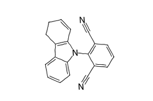 N#Cc1cccc(C#N)c1-n1c2c(c3ccccc31)CCC=C2